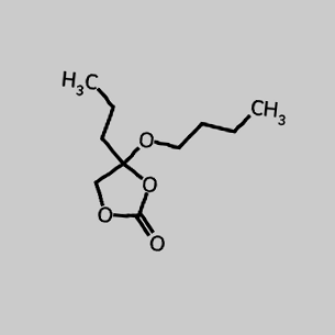 CCCCOC1(CCC)COC(=O)O1